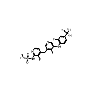 [2H]C([2H])([2H])c1ccc(Nc2cncc(Cc3ccnc(NS(=O)(=O)NC)c3F)c2C)c(F)c1